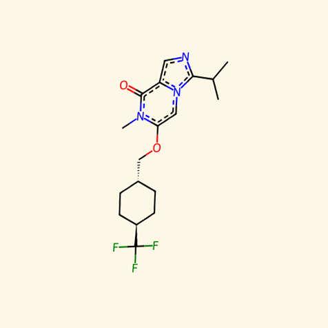 CC(C)c1ncc2c(=O)n(C)c(OC[C@H]3CC[C@H](C(F)(F)F)CC3)cn12